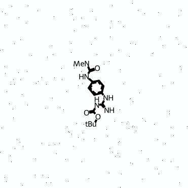 CNC(=O)Nc1ccc(NC(=N)NC(=O)OC(C)(C)C)cc1